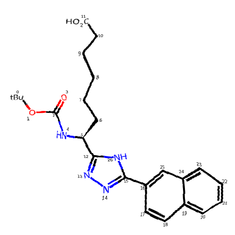 CC(C)(C)OC(=O)N[C@@H](CCCCCC(=O)O)c1nnc(-c2ccc3ccccc3c2)[nH]1